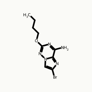 CCCCOc1nc(N)c2nc(Br)cn2n1